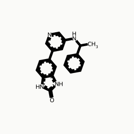 CC(Nc1cncc(-c2ccc3[nH]c(=O)[nH]c3c2)c1)c1ccccc1